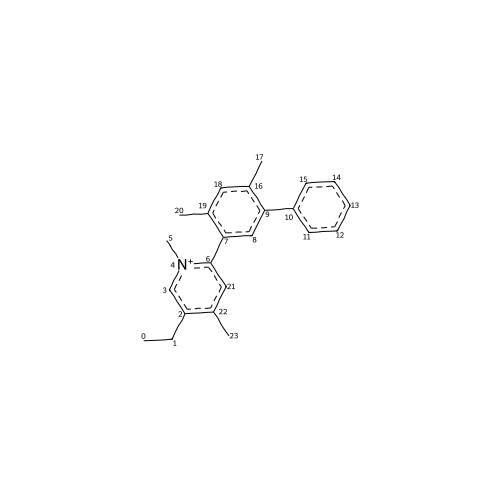 CCc1c[n+](C)c(-c2cc(-c3ccccc3)c(C)cc2C)cc1C